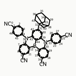 N#Cc1ccc(N2c3ccc(C#N)cc3B3c4cc(C#N)ccc4N(c4ccc(C#N)cc4)c4cc(C56CC7CC(CC(C7)C5)C6)cc2c43)cc1